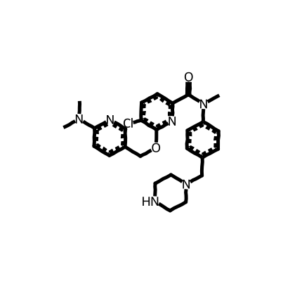 CN(C)c1ccc(COc2nc(C(=O)N(C)c3ccc(CN4CCNCC4)cc3)ccc2Cl)cn1